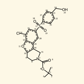 CC(C)(C)OC(=O)N1CCc2oc3c(Cl)cc(S(=O)(=O)c4ccc(CO)cc4)cc3c2C1